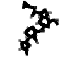 CNc1cc(Nc2cccn(-c3cc(C)on3)c2=O)nc2c(C(=O)NC3CC3)cnn12